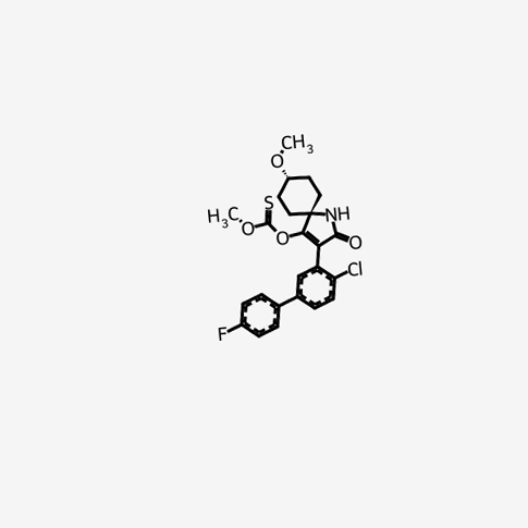 COC(=S)OC1=C(c2cc(-c3ccc(F)cc3)ccc2Cl)C(=O)N[C@]12CC[C@@H](OC)CC2